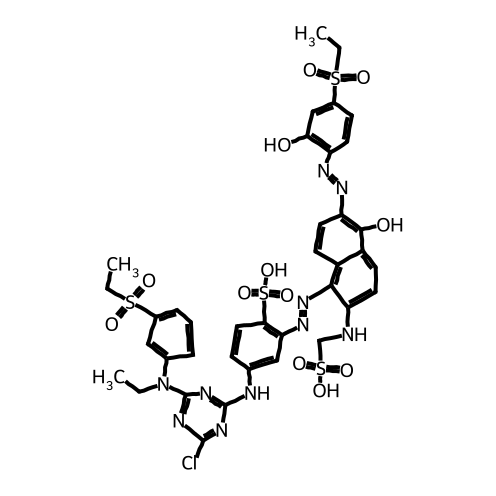 CCN(c1cccc(S(=O)(=O)CC)c1)c1nc(Cl)nc(Nc2ccc(S(=O)(=O)O)c(/N=N/c3c(NCS(=O)(=O)O)ccc4c(O)c(/N=N/c5ccc(S(=O)(=O)CC)cc5O)ccc34)c2)n1